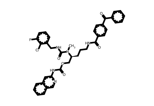 CN(C(=O)NCc1cccc(F)c1Cl)[C@@H](CCCNC(=O)c1ccc(C(=O)c2ccccc2)cc1)COC(=O)Nc1cc2ccccc2cn1